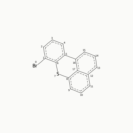 Brc1cccc2c1Sc1cccc3cccc-2c13